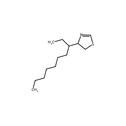 [CH2]CC(CCCCCCC)C1CSC=N1